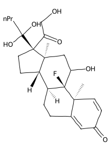 CCCC(O)(O)[C@]1(C(=O)CO)CC[C@H]2[C@@H]3CCC4=CC(=O)C=C[C@]4(C)[C@@]3(F)C(O)C[C@@]21C